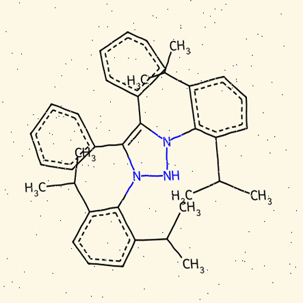 CC(C)c1cccc(C(C)C)c1N1NN(c2c(C(C)C)cccc2C(C)C)C(c2ccccc2)=C1c1ccccc1